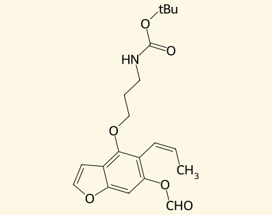 C/C=C\c1c(OC=O)cc2occc2c1OCCCNC(=O)OC(C)(C)C